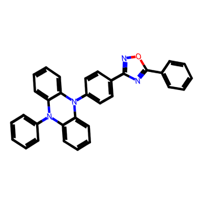 c1ccc(-c2nc(-c3ccc(N4c5ccccc5N(c5ccccc5)c5ccccc54)cc3)no2)cc1